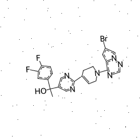 CC(O)(c1cnc(C2=CCN(c3ncnn4cc(Br)cc34)CC2)nc1)c1ccc(F)c(F)c1